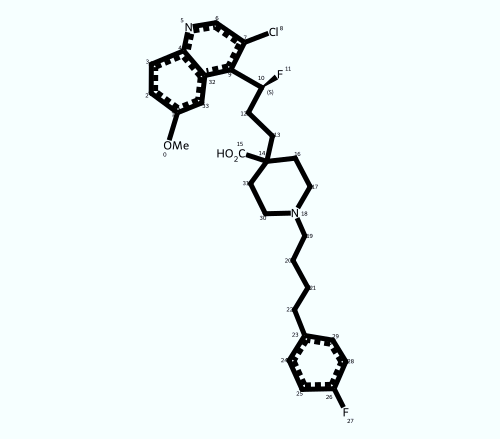 COc1ccc2ncc(Cl)c([C@@H](F)CCC3(C(=O)O)CCN(CCCCc4ccc(F)cc4)CC3)c2c1